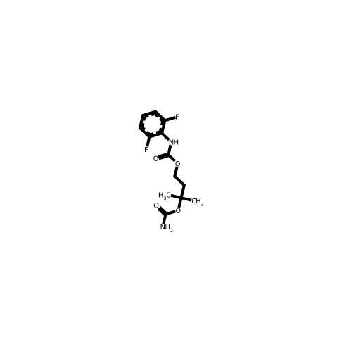 CC(C)(CCOC(=O)Nc1c(F)cccc1F)OC(N)=O